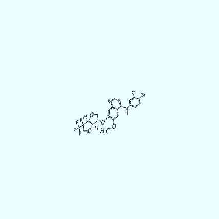 COc1cc2c(Nc3ccc(Br)c(Cl)c3)ncnc2cc1O[C@H]1CO[C@H]2[C@@H]1OC[C@]2(F)C(F)(F)F